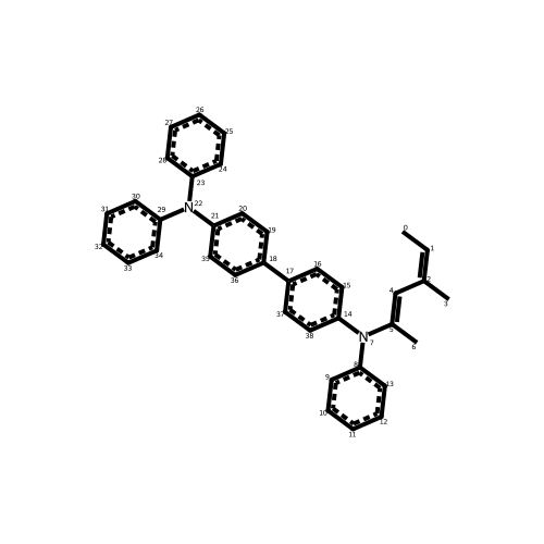 C/C=C(C)\C=C(/C)N(c1ccccc1)c1ccc(-c2ccc(N(c3ccccc3)c3ccccc3)cc2)cc1